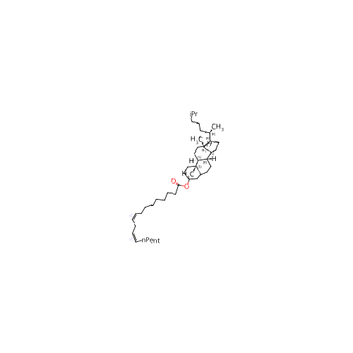 CCCCC/C=C\C/C=C\CCCCCCCC(=O)OC1CC[C@@]2(C)C(CC[C@H]3[C@@H]4CC[C@H]([C@H](C)CCCC(C)C)[C@@]4(C)CC[C@@H]32)C1